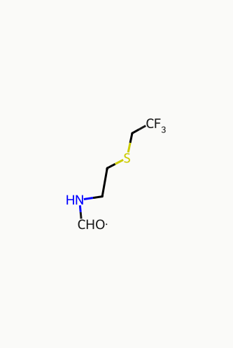 O=[C]NCCSCC(F)(F)F